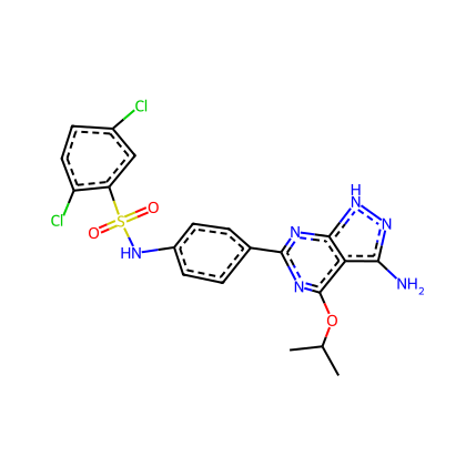 CC(C)Oc1nc(-c2ccc(NS(=O)(=O)c3cc(Cl)ccc3Cl)cc2)nc2[nH]nc(N)c12